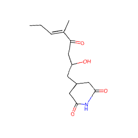 CCC=C(C)C(=O)CC(O)CC1CC(=O)NC(=O)C1